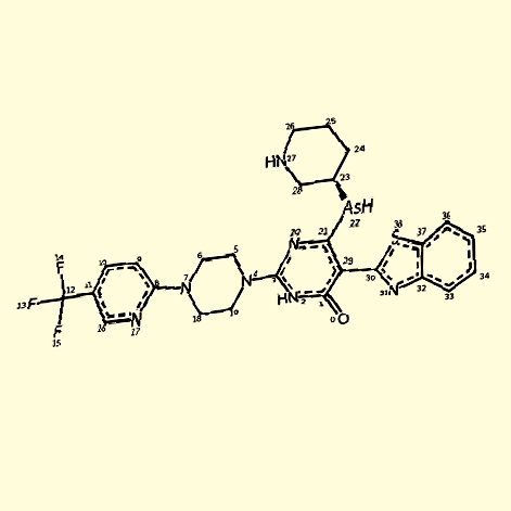 O=c1[nH]c(N2CCN(c3ccc(C(F)(F)F)cn3)CC2)nc([AsH][C@@H]2CCCNC2)c1-c1nc2ccccc2s1